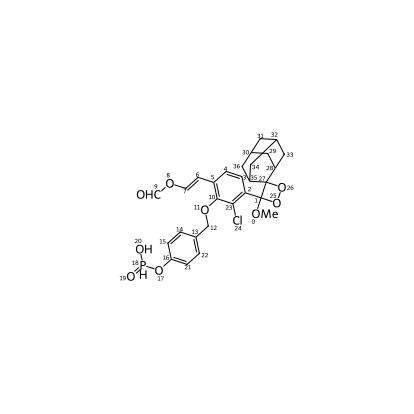 COC1(c2ccc(/C=C/OC=O)c(OCc3ccc(O[PH](=O)O)cc3)c2Cl)OOC12C1CC3CC(C1)CC2C3